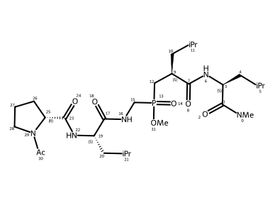 CNC(=O)[C@H](CC(C)C)NC(=O)[C@H](CC(C)C)CP(=O)(CNC(=O)[C@H](CC(C)C)NC(=O)[C@H]1CCCN1C(C)=O)OC